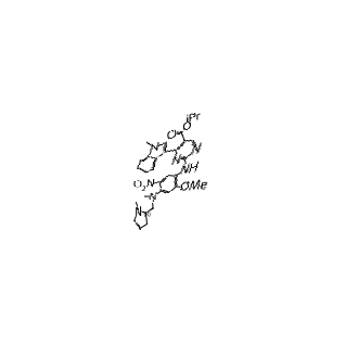 COc1cc(N(C)C[C@H]2CCCN2C)c([N+](=O)[O-])cc1Nc1ncc(C(=O)OC(C)C)c(-c2cn(C)c3ccccc23)n1